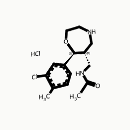 CC(=O)NC[C@H]1CNCCO[C@@H]1c1ccc(C)c(Cl)c1.Cl